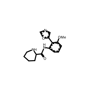 COc1cccc(NC(=O)C2CCCCN2)c1-c1cnco1